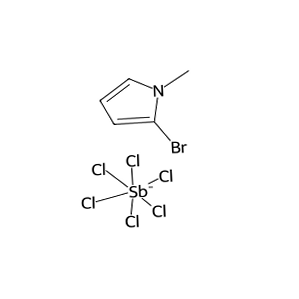 Cn1cccc1Br.[Cl][Sb-]([Cl])([Cl])([Cl])([Cl])[Cl]